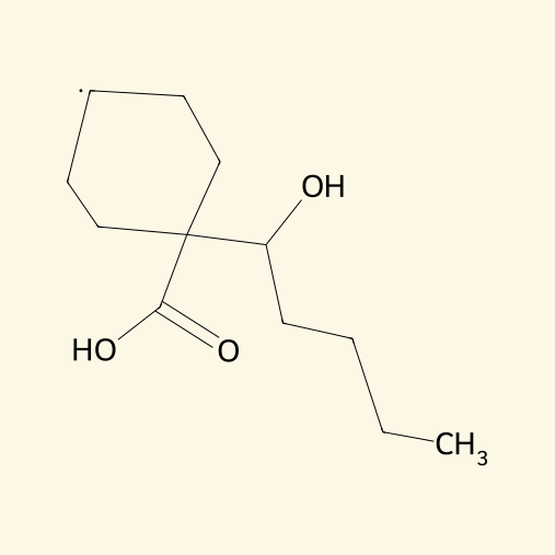 CCCCC(O)C1(C(=O)O)CC[CH]CC1